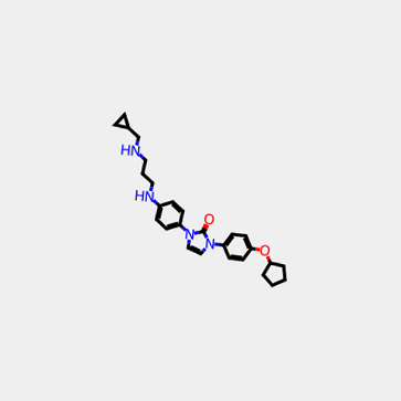 O=c1n(-c2ccc(NCCCNCC3CC3)cc2)ccn1-c1ccc(OC2CCCC2)cc1